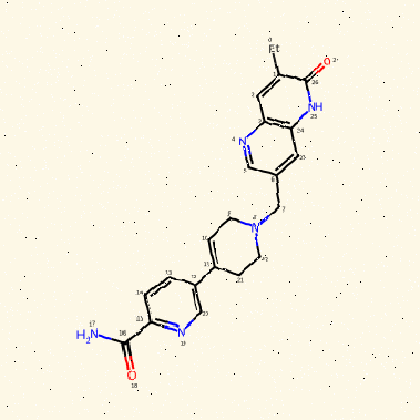 CCc1cc2ncc(CN3CC=C(c4ccc(C(N)=O)nc4)CC3)cc2[nH]c1=O